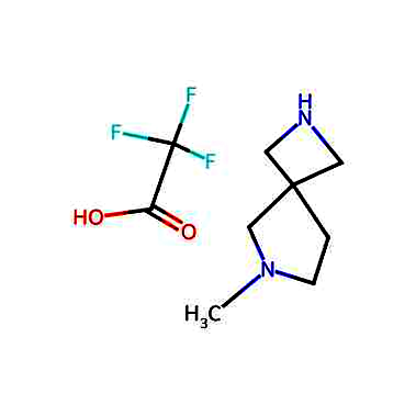 CN1CCC2(CNC2)C1.O=C(O)C(F)(F)F